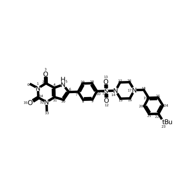 Cn1c(=O)c2[nH]c(-c3ccc(S(=O)(=O)N4CCN(Cc5ccc(C(C)(C)C)cc5)CC4)cc3)cc2n(C)c1=O